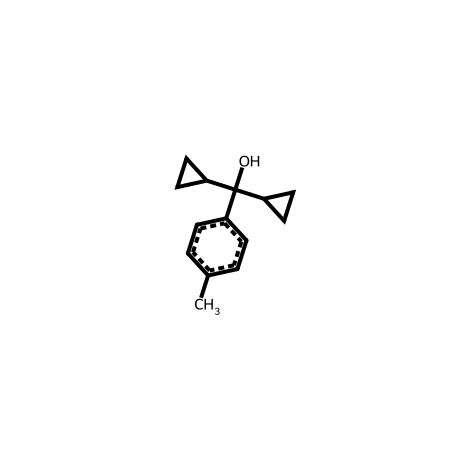 Cc1ccc(C(O)(C2CC2)C2CC2)cc1